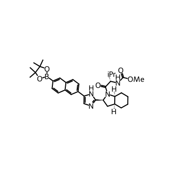 COC(=O)N[C@H](C(=O)N1[C@H](c2ncc(-c3ccc4cc(B5OC(C)(C)C(C)(C)O5)ccc4c3)[nH]2)C[C@@H]2CCCC[C@@H]21)C(C)C